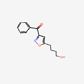 O=C(c1ccccc1)c1cc(CCCCO)on1